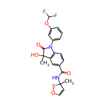 CC1(NC(=O)c2ccc3c(c2)C(C)(O)C(=O)N3c2cccc(OC(F)F)c2)C=COS1